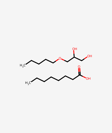 CCCCCCCC(=O)O.CCCCCOCC(O)CO